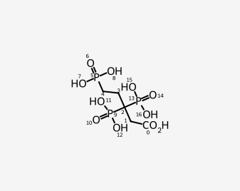 O=C(O)CC(CCP(=O)(O)O)(P(=O)(O)O)P(=O)(O)O